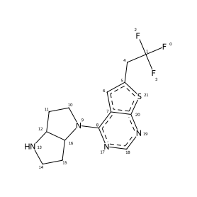 FC(F)(F)Cc1cc2c(N3CCC4NCCC43)ncnc2s1